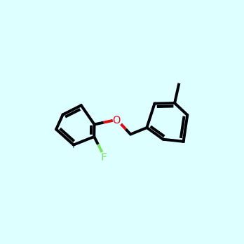 Cc1cccc(COc2ccc[c]c2F)c1